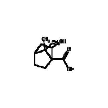 CC1(C)C2CCC1(C(=O)O)C(O)C2